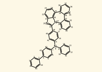 c1ccc(-c2ccc(N(c3ccccc3)c3ccc(-c4nc5cccc6c5n4-c4ccccc4-c4ncccc4-6)cc3)cc2)cc1